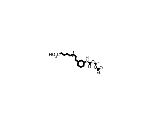 CCC(=O)O[C@@H](C)OC(=O)NC1CCCC(CC[C@H](C)CCCCC(=O)O)C1